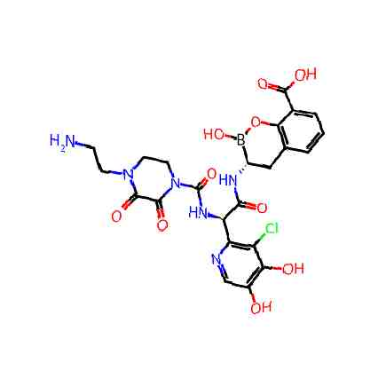 NCCN1CCN(C(=O)N[C@@H](C(=O)N[C@H]2Cc3cccc(C(=O)O)c3OB2O)c2ncc(O)c(O)c2Cl)C(=O)C1=O